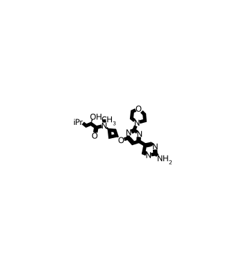 CC(C)C[C@H](O)C(=O)N(C)[C@H]1C[C@H](Oc2cc(-c3cnc(N)nc3)nc(N3CCOCC3)n2)C1